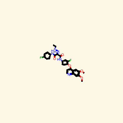 CCN/N=C(\C(=O)Nc1ccc(F)cc1)C(=O)Nc1ccc(Oc2ccnc3cc(OC)c(OC)cc23)c(F)c1